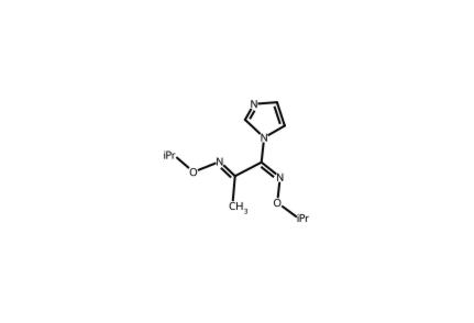 CC(=NOC(C)C)C(=NOC(C)C)n1ccnc1